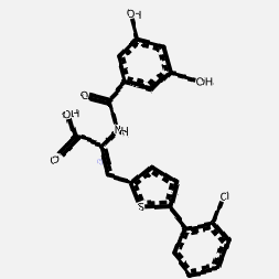 O=C(O)/C(=C/c1ccc(-c2ccccc2Cl)s1)NC(=O)c1cc(O)cc(O)c1